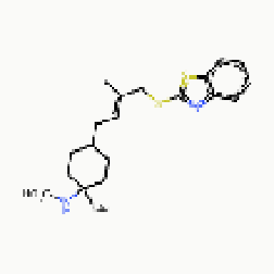 CC(=CCC1CCC(NC(=O)O)(C(C)(C)C)CC1)CSc1nc2ccccc2s1